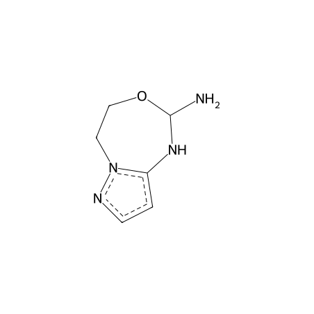 NC1Nc2ccnn2CCO1